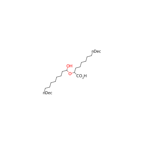 CCCCCCCCCCCCCCCCCC(O)OC(CCCCCCCCCCCCCCCC)C(=O)O